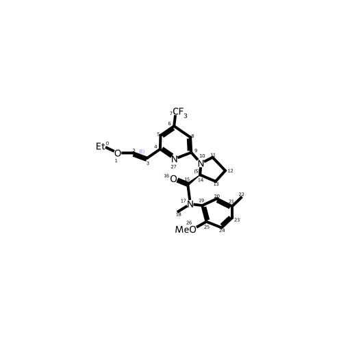 CCO/C=C/c1cc(C(F)(F)F)cc(N2CCC[C@H]2C(=O)N(C)c2cc(C)ccc2OC)n1